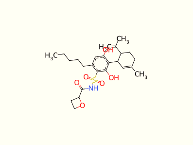 C=C(C)C1CCC(C)=CC1c1c(O)cc(CCCCC)c(S(=O)(=O)NC(=O)C2CCO2)c1O